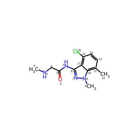 CNCC(=O)Nc1nn(C)c2c(C)ccc(Cl)c12